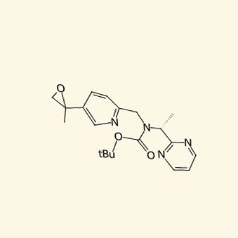 C[C@H](c1ncccn1)N(Cc1ccc(C2(C)CO2)cn1)C(=O)OC(C)(C)C